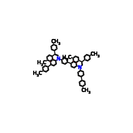 Cc1ccc(C(=CN(c2ccc(-c3ccc(C)cc3)cc2)c2ccc(-c3ccc(N(C=C(c4ccc(C)cc4)c4ccc(C)cc4)c4ccc(-c5ccc(C)cc5)cc4)cc3)cc2)c2ccc(C)cc2)cc1